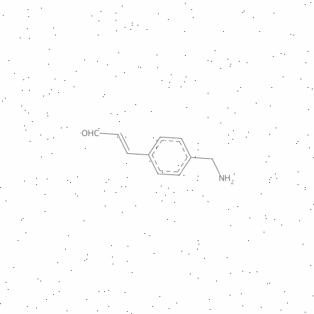 NCc1ccc(/C=C/[C]=O)cc1